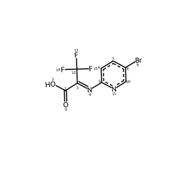 O=C(O)C(=Nc1ccc(Br)cn1)C(F)(F)F